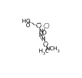 CN(C)c1ccc(N2CCN(CN(C(=O)C3CCCCC3)c3cccc(C=CC(=O)O)c3)CC2)cc1